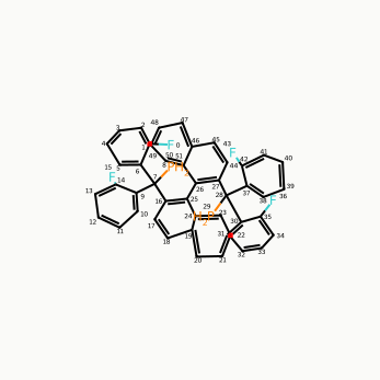 Fc1ccccc1C(P)(c1ccccc1F)c1ccc2ccccc2c1-c1c(C(P)(c2ccccc2F)c2ccccc2F)ccc2ccccc12